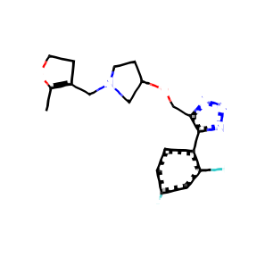 CC1=C(CN2CCC(OCc3[nH]nnc3-c3ccc(F)cc3F)C2)CCO1